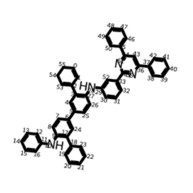 C1=CC(c2cc(-c3ccc(Nc4ccccc4)c(-c4ccccc4)c3)ccc2Nc2cccc(-c3nc(-c4ccccc4)cc(-c4ccccc4)n3)c2)=CCC1